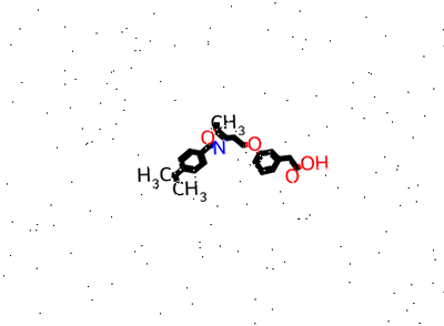 Cc1oc(-c2ccc(C(C)C)cc2)nc1CCOc1cccc(CC(=O)O)c1